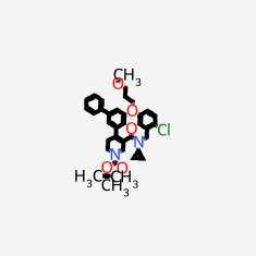 COCCCOc1ccc(Cl)c(CN(C(=O)C2=C(c3cccc(-c4ccccc4)c3)CCN(C(=O)OC(C)(C)C)C2)C2CC2)c1